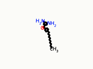 CCCCCCCCCCCCc1ccc(C(=O)c2cc(N)cc(N)c2)cc1